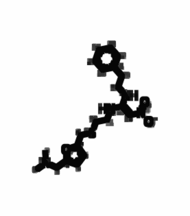 CN(C)Cc1ccc(CSCCN/C(=C/[N+](=O)[O-])NCCc2ccccc2)o1